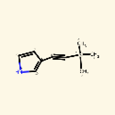 C[Si](C)(C)C#Cc1cc[nH]c1